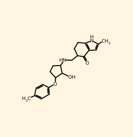 Cc1ccc(OC2CCC(NCC3CCc4[nH]c(C)cc4C3=O)C2O)cc1